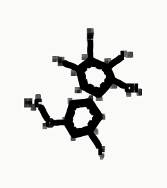 COc1cccc(F)c1.Cc1ccc(F)c(F)c1F